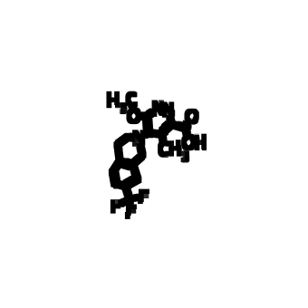 COc1nnc(C(=O)O)c(C)c1N1CCc2ccc(C(F)(F)F)cc2C1